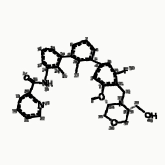 COc1cc(-c2cccc(-c3cccc(NC(=O)c4ccccn4)c3C)c2C)cc(F)c1CN1CCOC[C@H]1CO